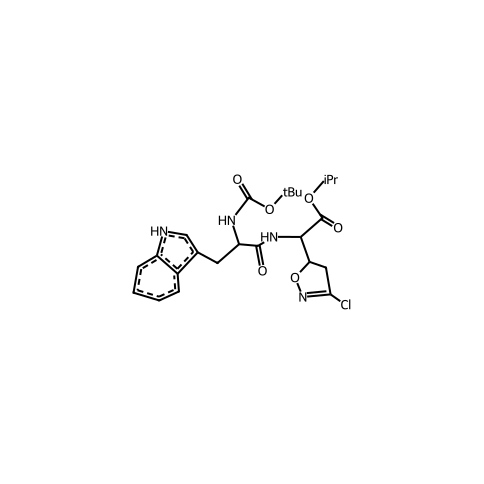 CC(C)OC(=O)C(NC(=O)C(Cc1c[nH]c2ccccc12)NC(=O)OC(C)(C)C)C1CC(Cl)=NO1